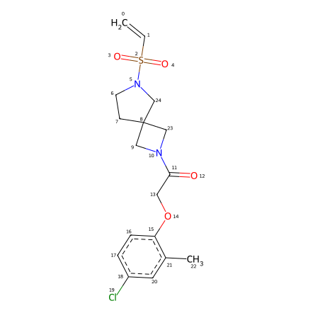 C=CS(=O)(=O)N1CCC2(CN(C(=O)COc3ccc(Cl)cc3C)C2)C1